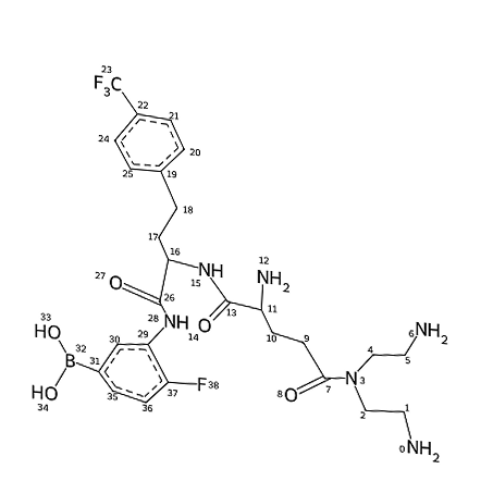 NCCN(CCN)C(=O)CCC(N)C(=O)NC(CCc1ccc(C(F)(F)F)cc1)C(=O)Nc1cc(B(O)O)ccc1F